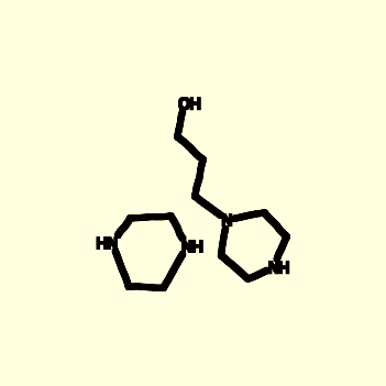 C1CNCCN1.OCCCN1CCNCC1